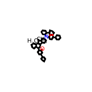 CC1(C)c2cc(N(C3=CC=C(c4ccccc4)CC3)C3=C(c4ccccc4)C=CCC3)ccc2-c2c1c1ccccc1c1c2oc2cc(-c3ccccc3)ccc21